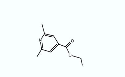 CCOC(=O)c1cc(C)nc(C)c1